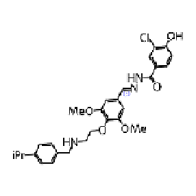 COc1cc(/C=N/NC(=O)c2ccc(O)c(Cl)c2)cc(OC)c1OCCNCc1ccc(C(C)C)cc1